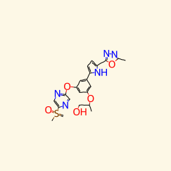 C=S(C)(=O)c1cnc(Oc2cc(OC(C)CO)cc(-c3ccc(-c4nnc(C)o4)[nH]3)c2)cn1